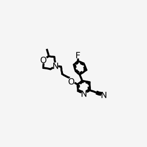 CC1CN(CCCOc2cnc(C#N)cc2-c2ccc(F)cc2)CCO1